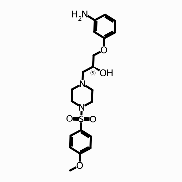 COc1ccc(S(=O)(=O)N2CCN(C[C@H](O)COc3cccc(N)c3)CC2)cc1